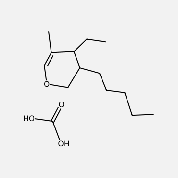 CCCCCC1COC=C(C)C1CC.O=C(O)O